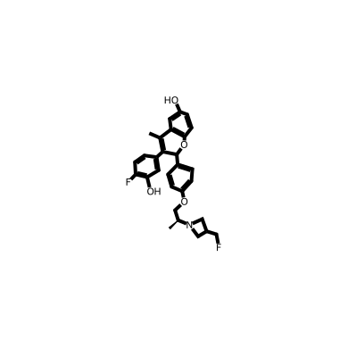 CC1=C(c2ccc(F)c(O)c2)C(c2ccc(OC[C@H](C)N3CC(CF)C3)cc2)Oc2ccc(O)cc21